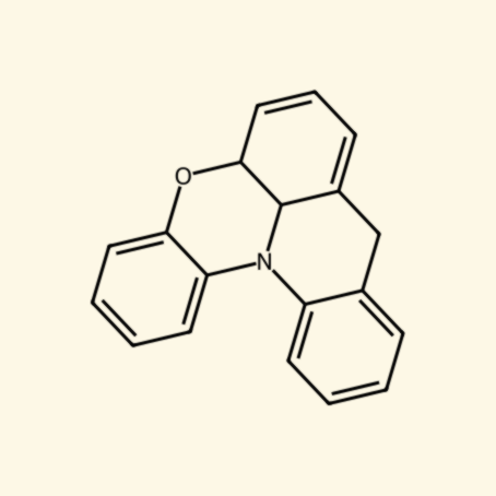 C1=CC2Oc3ccccc3N3c4ccccc4CC(=C1)C23